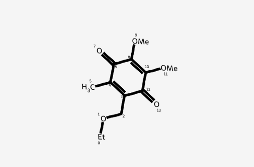 CCOCC1=C(C)C(=O)C(OC)=C(OC)C1=O